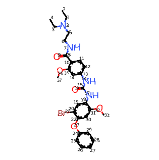 CCN(CC)CCNC(=O)c1ccc(NC(=O)Nc2cc(Br)c(Oc3ccccc3)cc2OC)cc1OC